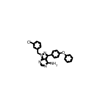 Nc1ncnc2c1c(-c1ccc(Oc3ccccc3)cc1)nn2Cc1cccc(Cl)c1